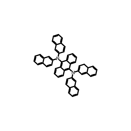 C1=CC2=CC(N(c3ccc4ccccc4c3)c3c4ccccc4c(N(c4ccc5ccccc5c4)c4ccc5ccccc5c4)c4ccccc34)=CCC2C=C1